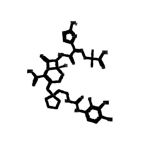 CC(C)(O/N=C(\C(=O)N[C@@H]1C(=O)N2C(C(=O)O)=C(C[N+]3(CCNC(=O)Nc4ccc(O)c(O)c4Cl)CCCC3)CS[C@H]12)c1csc(N)n1)C(=O)O